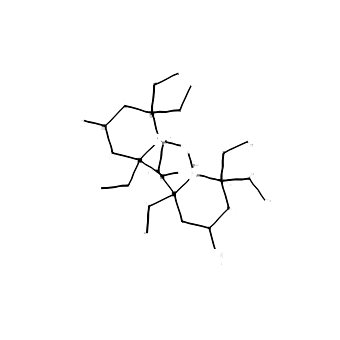 CCC1(CC)CC(O)CC(CC)(CC)N1ON1C(CC)(CC)CC(O)CC1(CC)CC